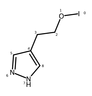 IOCCc1cn[nH]c1